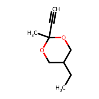 C#CC1(C)OCC(CC)CO1